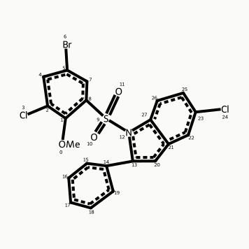 COc1c(Cl)cc(Br)cc1S(=O)(=O)n1c(-c2ccccc2)cc2cc(Cl)ccc21